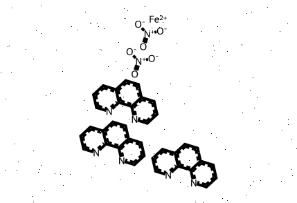 O=[N+]([O-])[O-].O=[N+]([O-])[O-].[Fe+2].c1cnc2c(c1)ccc1cccnc12.c1cnc2c(c1)ccc1cccnc12.c1cnc2c(c1)ccc1cccnc12